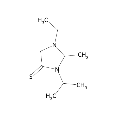 CCN1CC(=S)N(C(C)C)C1C